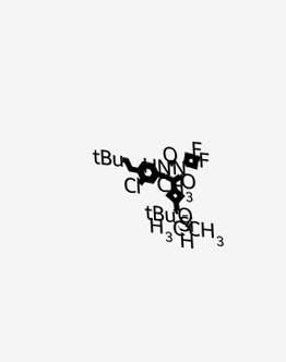 C[SiH](C)OC(C1CC(C2C(=O)N(C3CC(F)(F)C3)C(=O)NC2(C)c2ccc(CCC(C)(C)C)c(Cl)c2)C1)C(C)(C)C